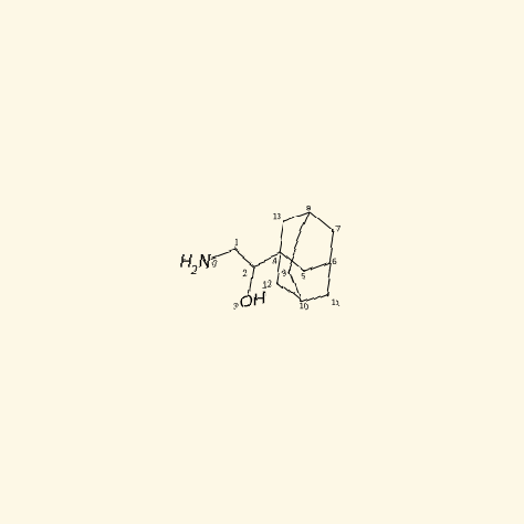 NCC(O)C12CC3CC(CC(C3)C1)C2